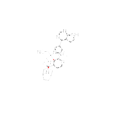 N#CCC1(n2cc(-c3ncnc4[nH]ccc34)cn2)CN(C2CC3CCC(C2)N3C(=O)c2ccnc(C(F)(F)F)c2)C1